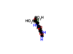 CC1(C)C[C@@H](Nc2cccc(-c3sc(C(=O)O)c(OCC(=O)O)c3Cl)c2)CCN1S(=O)(=O)Cc1cccc(NC(=O)OC2CNC2)c1